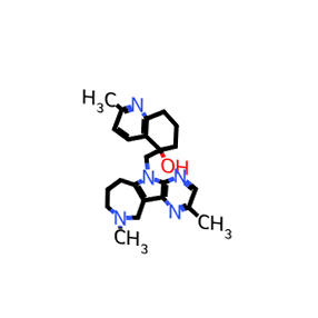 Cc1ccc2c(n1)CCCC2(O)Cn1c2c(c3nc(C)cnc31)CN(C)CCC2